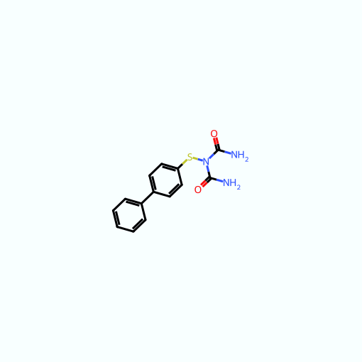 NC(=O)N(Sc1ccc(-c2ccccc2)cc1)C(N)=O